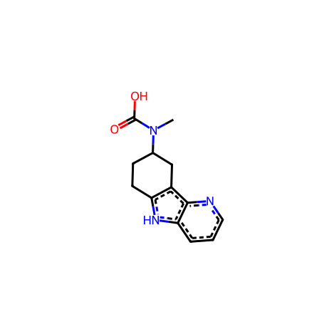 CN(C(=O)O)C1CCc2[nH]c3cccnc3c2C1